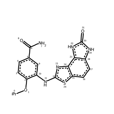 CC(C)Oc1ccc(C(N)=O)cc1Nc1nc2c(ccc3[nH]c(=O)[nH]c32)s1